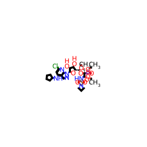 CCOP(=O)(OCC)[C@](COC)(OC[C@H]1O[C@@H](n2ncc3c(NC4CCCC4)cc(Cl)nc32)[C@H](O)[C@@H]1O)C(=O)NS(=O)(=O)N1CCC1